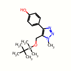 Cn1nnc(-c2ccc(O)cc2)c1CO[Si](C)(C)C(C)(C)C